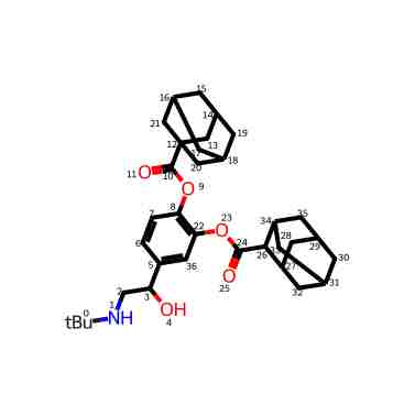 CC(C)(C)NCC(O)c1ccc(OC(=O)C23CC4CC(CC(C4)C2)C3)c(OC(=O)C2C3CC4CC(C3)CC2C4)c1